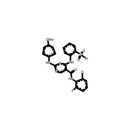 CCS(=O)(=O)c1ccccc1Nc1nc(Nc2ccc(OC)cc2)ncc1C(=O)Nc1c(F)cccc1Cl